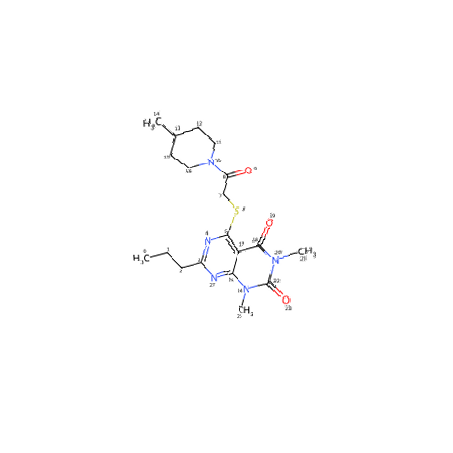 CCCc1nc(SCC(=O)N2CCC(C)CC2)c2c(=O)n(C)c(=O)n(C)c2n1